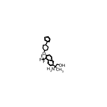 CC(N)(CO)c1ccc2c(C(F)(F)F)c(OC3CCC(c4ccccc4)CC3)ccc2c1